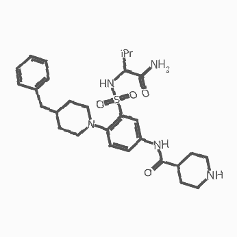 CC(C)C(NS(=O)(=O)c1cc(NC(=O)C2CCNCC2)ccc1N1CCC(Cc2ccccc2)CC1)C(N)=O